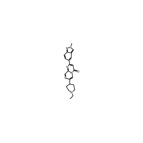 CCN1CCC(c2cn3c(=O)cc(-c4ccc5nn(C)cc5c4)nc3cn2)CC1